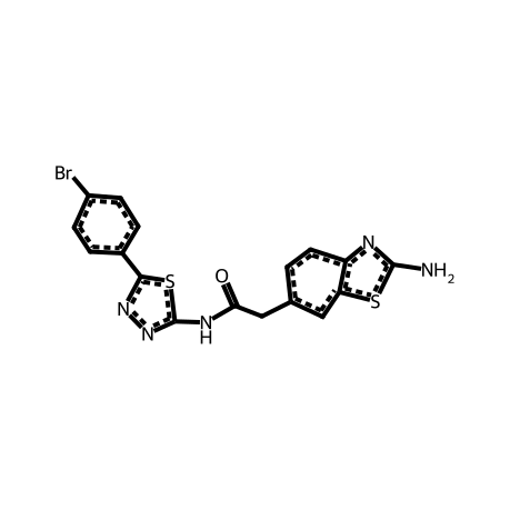 Nc1nc2ccc(CC(=O)Nc3nnc(-c4ccc(Br)cc4)s3)cc2s1